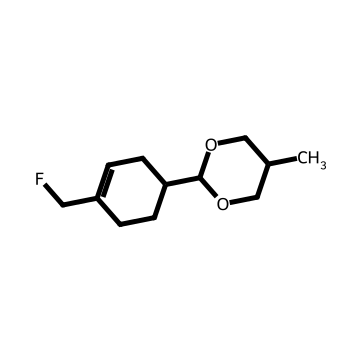 CC1COC(C2CC=C(CF)CC2)OC1